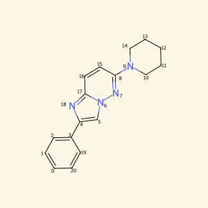 c1ccc(-c2cn3nc(N4CCCCC4)ccc3n2)cc1